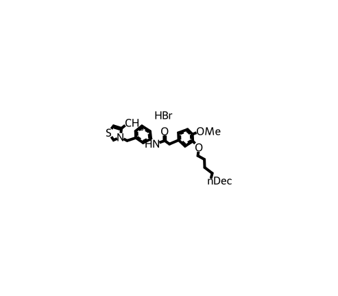 Br.CCCCCCCCCCCCCCOc1cc(CC(=O)Nc2cccc(CN3CSC=C3C)c2)ccc1OC